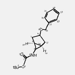 CC(C)(C)OC(=O)NC1[C@H]2CC(OCc3ccccc3)C[C@@H]12